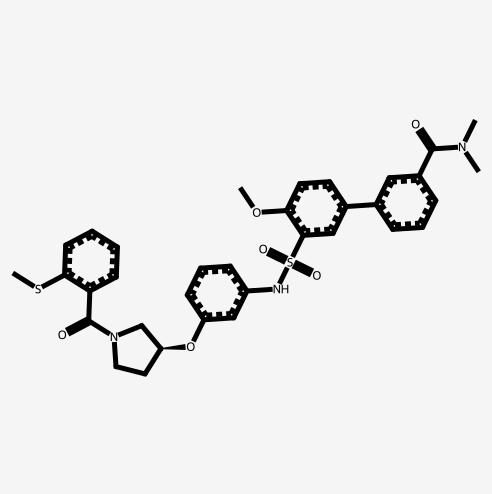 COc1ccc(-c2cccc(C(=O)N(C)C)c2)cc1S(=O)(=O)Nc1cccc(O[C@H]2CCN(C(=O)c3ccccc3SC)C2)c1